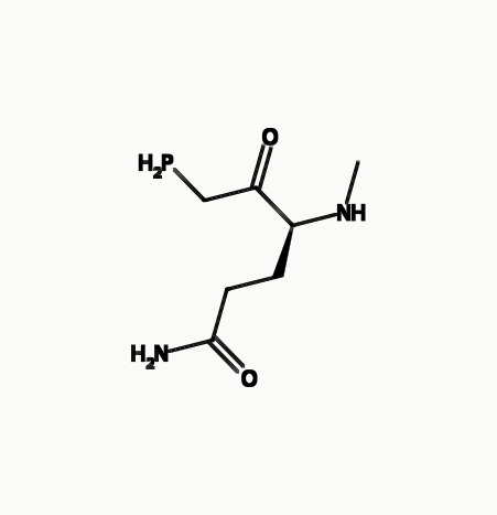 CN[C@@H](CCC(N)=O)C(=O)CP